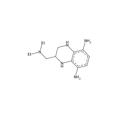 CCN(CC)CC1CNc2c(N)ccc(N)c2N1